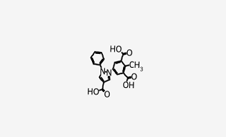 Cc1c(C(=O)O)cccc1C(=O)O.O=C(O)c1cnn(-c2ccccc2)c1